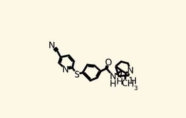 C[C@H]1[C@H](NC(=O)c2ccc(Sc3ccc(C#N)cn3)cc2)C2CCN1CC2